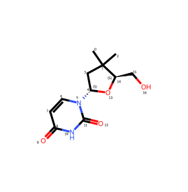 CC1(C)C[C@@H](n2ccc(=O)[nH]c2=O)O[C@@H]1CO